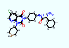 N[C@H](C(=O)NC1CCC(n2c(=O)c3cc(F)cnc3n(C3CCSCC3)c2=O)CC1)C1CCCCC1